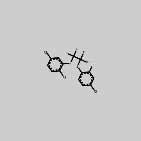 FC(F)(Sc1ccc(Cl)cc1Cl)C(F)(F)Sc1cc(Cl)ccc1Cl